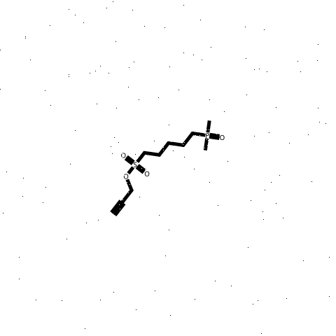 C#CCOS(=O)(=O)CCCCCP(C)(C)=O